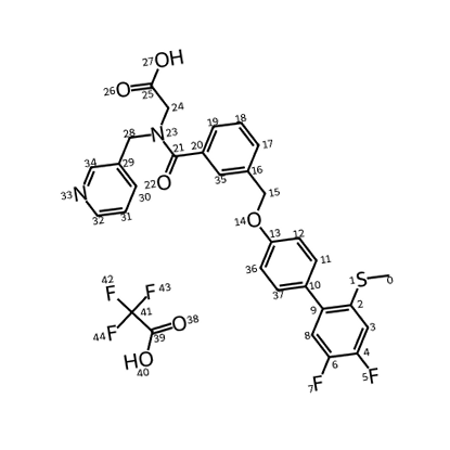 CSc1cc(F)c(F)cc1-c1ccc(OCc2cccc(C(=O)N(CC(=O)O)Cc3cccnc3)c2)cc1.O=C(O)C(F)(F)F